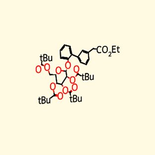 CCOC(=O)Cc1cccc(-c2ccccc2O[C@H]2O[C@H](COC(=O)C(C)(C)C)[C@@H](OC(=O)C(C)(C)C)[C@H](OC(=O)C(C)(C)C)[C@@H]2OC(=O)C(C)(C)C)c1